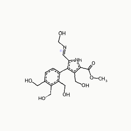 COC(=O)c1[nH]c(/C=N/CO)c(-c2ccc(CO)c(CO)c2CO)c1CO